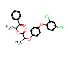 CC(Oc1ccc(Oc2ccc(Cl)cc2Cl)cc1)C(=O)OC(C)C(=O)c1ccccc1